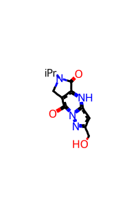 CC(C)N1Cc2c([nH]c3cc(CO)nn3c2=O)C1=O